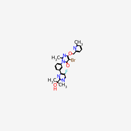 Cc1cccc(COc2nc(C)n(-c3cccc(-c4nc(C(C)(C)O)ncc4F)c3)c(=O)c2Br)n1